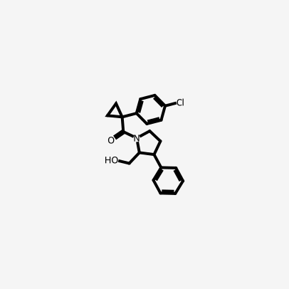 O=C(N1CCC(c2ccccc2)C1CO)C1(c2ccc(Cl)cc2)CC1